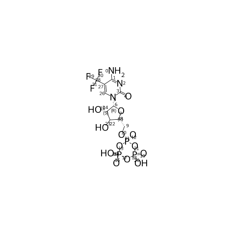 Nc1nc(=O)n([C@@H]2O[C@H](COP3(=O)OP(=O)(O)OP(=O)(O)O3)C(O)[C@@H]2O)cc1C(F)(F)F